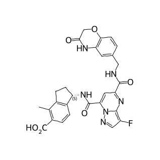 Cc1c(C(=O)O)ccc2c1CC[C@@H]2NC(=O)c1cc(C(=O)NCc2ccc3c(c2)NC(=O)CO3)nc2c(F)cnn12